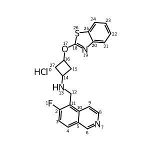 Cl.Fc1ccc2cnccc2c1CNC1CC(Oc2nc3ccccc3s2)C1